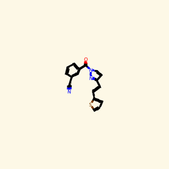 N#Cc1cccc(C(=O)n2ccc(C=Cc3cccs3)n2)c1